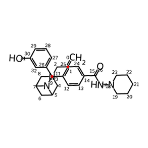 C=CCN1CC2CC(C1)N2C(c1ccc(C(=O)NN2CCCCC2)cc1)c1cccc(O)c1